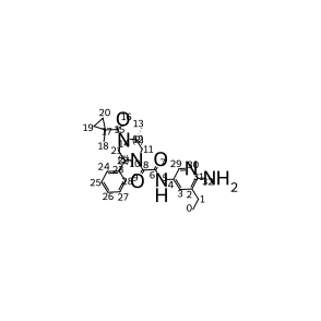 CCc1cc(NC(=O)C(=O)N2C[C@@H](C)N(C(=O)C3(C)CC3)C[C@@H]2c2ccccc2)cnc1N